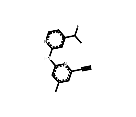 C#Cc1cc(C)cc(Nc2cc(C(C)F)ccn2)n1